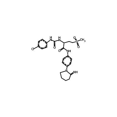 CS(=O)(=O)CCC(NC(=O)Nc1ccc(Cl)cc1)C(=O)Nc1ccc(N2CCCCC2=N)cc1